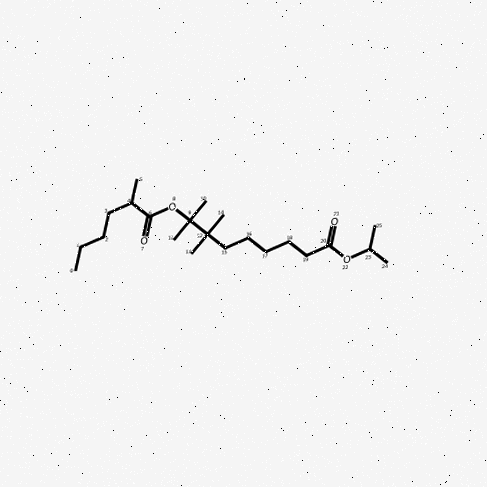 CCCCC(C)C(=O)OC(C)(C)C(C)(C)CCCCCC(=O)OC(C)C